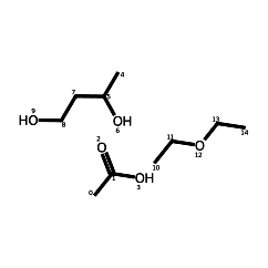 CC(=O)O.CC(O)CCO.CCOCC